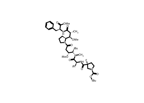 CC[C@H](C)[C@@H]([C@@H](CC(=O)N1CCC[C@H]1[C@H](OC)[C@@H](C)C(=O)N[C@@H](Cc1ccccc1)C(=O)OC)OC)N(C)C(=O)[C@@H](NC(=O)[C@]1(F)CCN(C(=O)OC(C)(C)C)C1)C(C)C